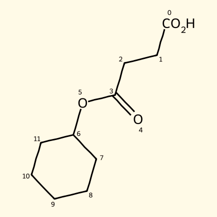 O=C(O)CCC(=O)OC1CCCCC1